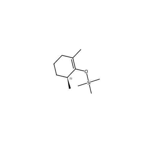 CC1=C(O[Si](C)(C)C)[C@@H](C)CCC1